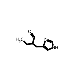 CCC(C=O)Cc1c[nH]cn1